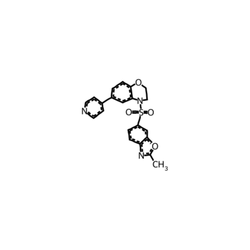 Cc1nc2ccc(S(=O)(=O)N3CCOc4ccc(-c5ccncc5)cc43)cc2o1